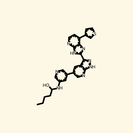 CCCCC(O)Nc1cncc(-c2cnc3[nH]nc(-c4nc5c(-c6ccsc6)ccnc5[nH]4)c3c2)c1